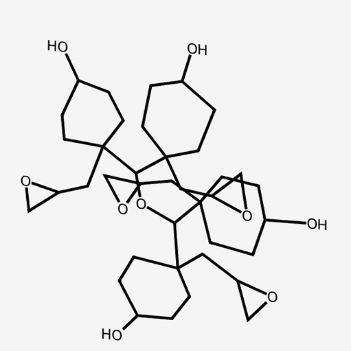 OC1CCC(CC2CO2)(C(OC(C2(CC3CO3)CCC(O)CC2)C2(CC3CO3)CCC(O)CC2)C2(CC3CO3)CCC(O)CC2)CC1